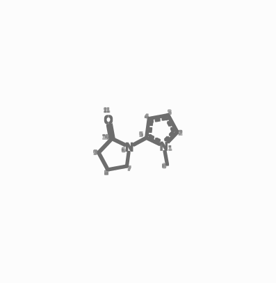 Cn1cccc1N1CCCC1=O